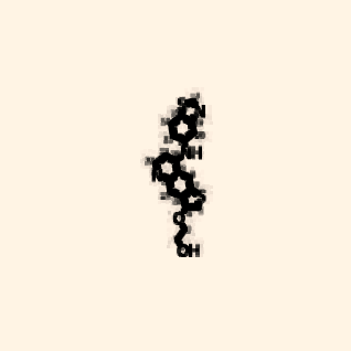 OCCOc1csc2cc3c(Nc4ccc5scnc5c4)ccnc3cc12